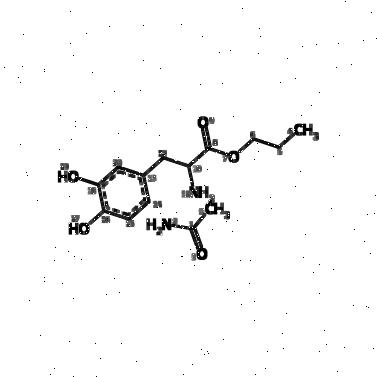 CC(N)=O.CCCOC(=O)C(N)Cc1ccc(O)c(O)c1